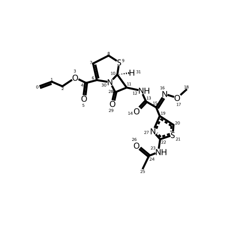 C=CCOC(=O)C1=CCS[C@H]2C(NC(=O)C(=NOC)c3csc(NC(C)=O)n3)C(=O)N12